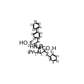 CC(C)CN(CC(CCc1ccccc1)C(=O)O)C(=O)NC(Cc1ccc(-c2ccccc2)cc1)C(=O)O